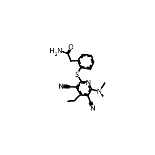 CCc1c(C#N)c(Sc2ccccc2CC(N)=O)nc(N(C)C)c1C#N